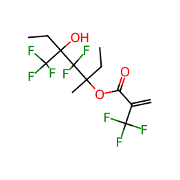 C=C(C(=O)OC(C)(CC)C(F)(F)C(O)(CC)C(F)(F)F)C(F)(F)F